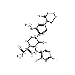 COc1cc(N2CCCCC2=O)ccc1N1CCc2c(C(N)=O)nn(-c3ccc(F)cc3F)c2C1=O